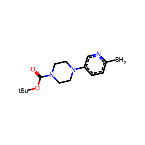 Bc1ccc(N2CCN(C(=O)OC(C)(C)C)CC2)cn1